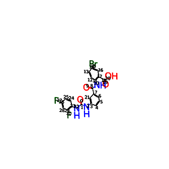 O=C(Nc1cccc(C(=O)Nc2ccc(Br)cc2C(=O)O)c1)Nc1ccc(F)cc1F